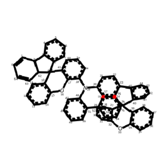 C1=CC2c3ccccc3C3(c4ccccc4Oc4c(N(c5ccc6c(c5)C5(c7ccccc7Oc7ccccc75)c5ccccc5-6)c5ccccc5-c5ccccc5)cccc43)C2C=C1